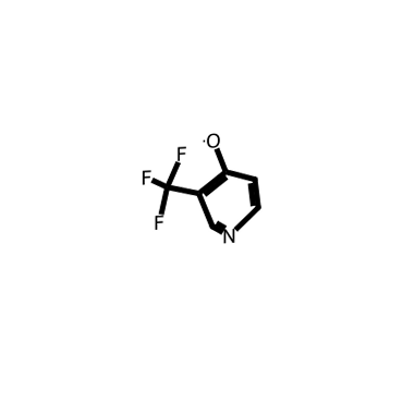 [O]c1ccncc1C(F)(F)F